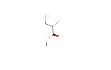 CCOC(=O)C(C)CC(C)CC